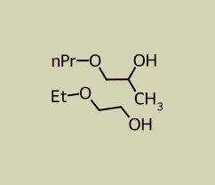 CCCOCC(C)O.CCOCCO